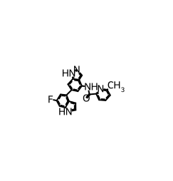 Cc1cccc(C(=O)Nc2cc(-c3cc(F)cc4[nH]ccc34)cc3[nH]ncc23)n1